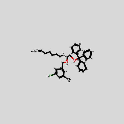 CCCCCCCCCCCCCCCCC[C@H](COC(c1ccccc1)(c1ccccc1)c1ccccc1)OCc1cc(F)cc(C#N)c1